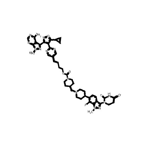 Cn1nc(N2CCC(=O)NC2=O)c2ccc(C3CCN(CC4CCN(C(=O)OCCCCc5cnc(-c6c(-c7nn(C(C)(C)C)c8ncnc(N)c78)noc6C6CC6)nc5)CC4)CC3)c(F)c21